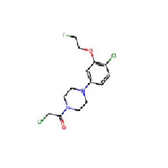 O=C(CCl)N1CCN(c2ccc(Cl)c(OCCF)c2)CC1